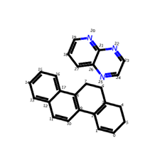 C1=CC2=C(CC1)CCc1c2ccc2ccccc12.c1cnc2nccnc2c1